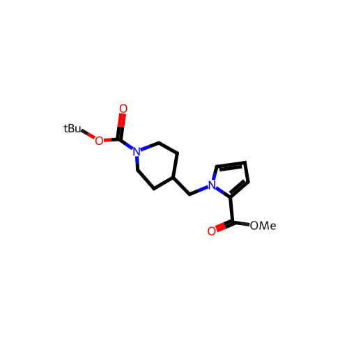 COC(=O)c1cccn1CC1CCN(C(=O)OC(C)(C)C)CC1